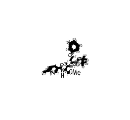 COC[C@@H](NC(=O)c1ccc(C)nc1)C(=O)N[C@@H](CCOc1ccccc1)B1OC(C)(C)C(C)(C)O1